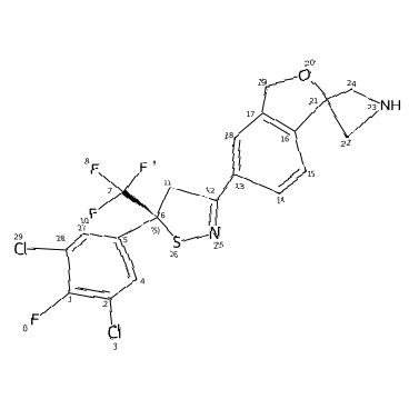 Fc1c(Cl)cc([C@]2(C(F)(F)F)CC(c3ccc4c(c3)COC43CNC3)=NS2)cc1Cl